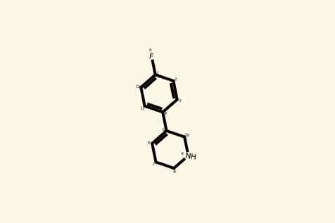 Fc1ccc(C2=CCCNC2)cc1